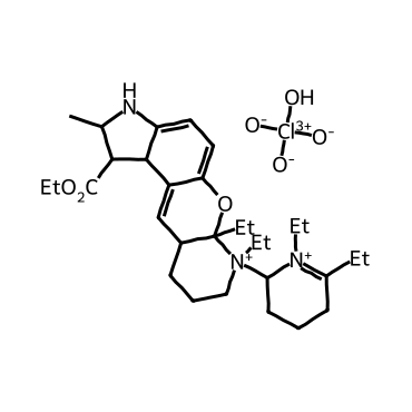 CCOC(=O)C1C(C)NC2=CC=C3OC4(CC)C(C=C3C21)CCC[N+]4(CC)C1CCCC(CC)=[N+]1CC.[O-][Cl+3]([O-])([O-])O